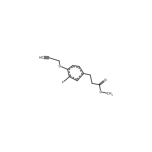 C#CCOc1ccc(CCC(=O)OC)cc1F